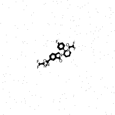 O=C(C(F)F)N1CCC[C@H](N2Cc3ccc(-c4nnc(C(F)F)o4)cc3C2=O)[C@H]1c1ccc(F)cc1